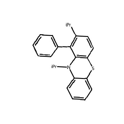 CC(C)c1ccc2c(c1-c1ccccc1)N(C(C)C)c1ccccc1S2